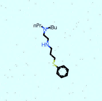 CCCN(CCNCCCSc1ccccc1)C(C)CC